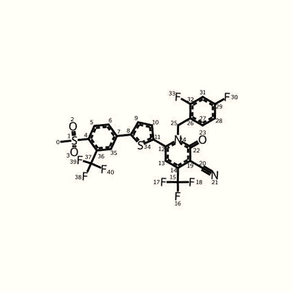 CS(=O)(=O)c1ccc(-c2ccc(-c3cc(C(F)(F)F)c(C#N)c(=O)n3Cc3ccc(F)cc3F)s2)cc1C(F)(F)F